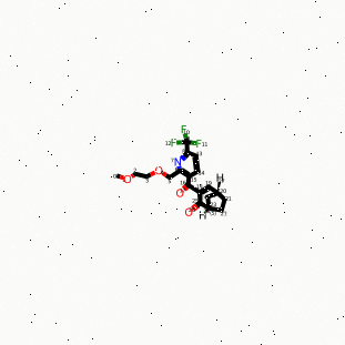 COCCOCc1nc(C(F)(F)F)ccc1C(=O)C1=C[C@@H]2CC[C@@H](C2)C1=O